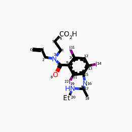 C=CCN(CCC(=O)O)C(=O)c1c(I)cc(I)c(N=C(C)NCC)c1I